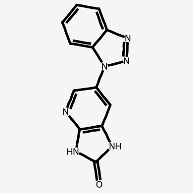 O=c1[nH]c2cc(-n3nnc4ccccc43)cnc2[nH]1